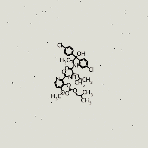 COc1ccnc(C(=O)N[C@@H](CC(C)C)C(=O)N[C@@H](C)C(O)(c2ccc(Cl)cc2)c2ccc(Cl)cc2)c1OC(=O)OCC(C)C